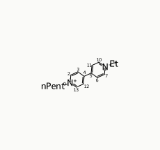 CCCCC[n+]1ccc(-c2cc[n+](CC)cc2)cc1